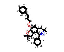 CC1(C)Cc2cc(OCC=Cc3ccccc3)c3c(c2C(c2ccccc2)=N1)CC(C)(C)O3